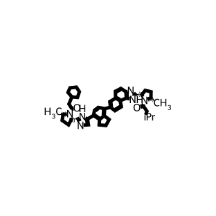 CC(C)CC(=O)N1[C@@H](C)CC[C@H]1c1nc2ccc3cc(-c4ccc(-c5cnc([C@@H]6CC[C@H](C)N6C(=O)CC6CCCCC6)[nH]5)c5c4CCC5)ccc3c2[nH]1